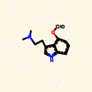 CN(C)CCc1c[nH]c2cccc(OC=O)c12